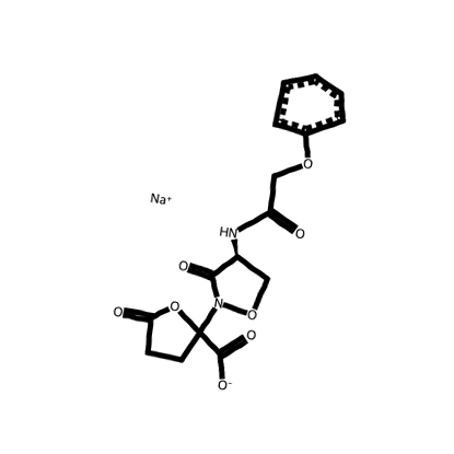 O=C(COc1ccccc1)N[C@H]1CON(C2(C(=O)[O-])CCC(=O)O2)C1=O.[Na+]